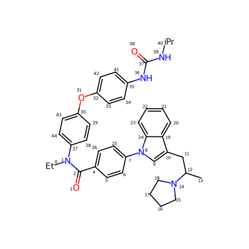 CCN(C(=O)c1ccc(-n2cc(CC(C)N3CCCC3)c3ccccc32)cc1)c1ccc(Oc2ccc(NC(=O)NC(C)C)cc2)cc1